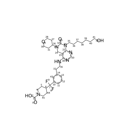 O=C(O)N1CCC(C(F)(F)c2cccc(CCNc3ncnc4c3CN(C3CCOCC3)C(=O)N4CCCCCCCO)c2)CC1